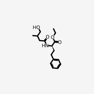 CCOC(=O)[C@@H](CCc1ccccc1)NC(=O)CC(C)CO